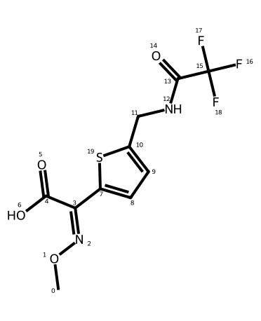 CO/N=C(\C(=O)O)c1ccc(CNC(=O)C(F)(F)F)s1